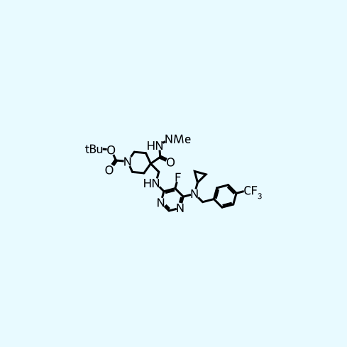 CNNC(=O)C1(CNc2ncnc(N(Cc3ccc(C(F)(F)F)cc3)C3CC3)c2F)CCN(C(=O)OC(C)(C)C)CC1